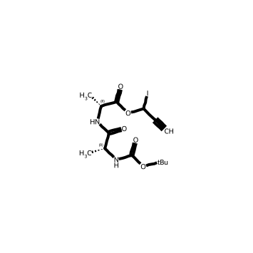 C#CC(I)OC(=O)[C@@H](C)NC(=O)[C@@H](C)NC(=O)OC(C)(C)C